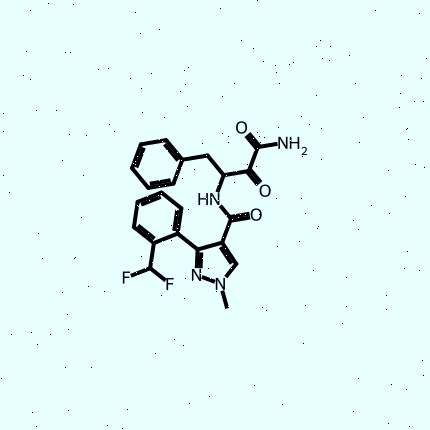 Cn1cc(C(=O)NC(Cc2ccccc2)C(=O)C(N)=O)c(-c2ccccc2C(F)F)n1